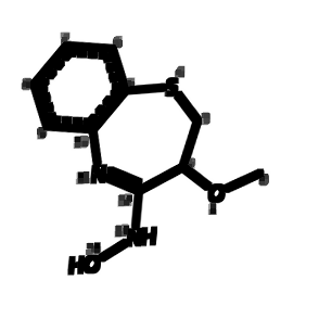 COC1CSc2ccccc2N=C1NO